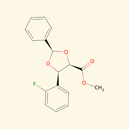 COC(=O)[C@@H]1O[C@H](c2ccccc2)O[C@@H]1c1ccccc1F